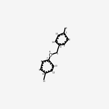 Cc1ccc(COc2ccc(C)cc2)cc1